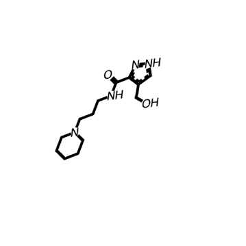 O=C(NCCCN1CCCCC1)c1n[nH]cc1CO